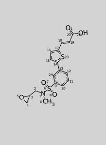 CN(CC1CO1)S(=O)(=O)c1cccc(-c2ccc(C=CC(=O)O)s2)c1